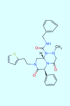 CN1CC(=O)N2[C@@H](c3ccccc3)C(=O)N(CCc3cccs3)C[C@@H]2N1C(=O)NCc1ccccc1